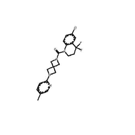 Cc1ccc(N2CC3(CN(C(=O)N4CCC(F)(F)c5cc(Cl)ccc54)C3)C2)nc1